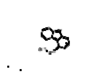 O=C1C=CC=C2[O+]=c3ccccc3=C12.O=C[O-]